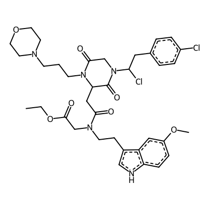 CCOC(=O)CN(CCc1c[nH]c2ccc(OC)cc12)C(=O)CC1C(=O)N(C(Cl)Cc2ccc(Cl)cc2)CC(=O)N1CCCN1CCOCC1